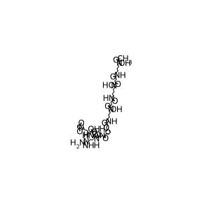 CC(=O)N(O)CCCCCNC(=O)CCC(=O)N(O)CCCCCNC(=O)CCC(=O)N(O)CCCCCNC(=O)COc1cccc(C(=O)NCC(=O)N[C@@H](CCCNC(=N)N)C(=O)N[C@@H](CCCCN2C(=O)C=CC2=O)C(=O)O)c1